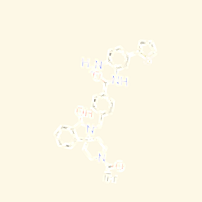 CC(C)C(=O)N1CCC2(CC1)c1ccccc1C(O)N2Cc1ccc(C(=O)Nc2cc(-c3cccs3)ccc2N)cc1